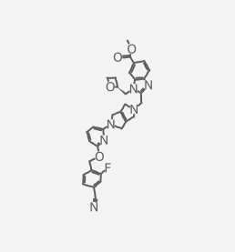 COC(=O)c1ccc2nc(CN3CC4=C(C3)CN(c3cccc(OCc5ccc(C#N)cc5F)n3)C4)n(C[C@@H]3CCO3)c2c1